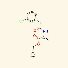 C[C@H](NC(=O)Cc1cccc(Cl)c1)C(=O)OCC1CC1